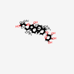 CC(=O)O[C@@H]([C@H]1C[C@@H](C)C2=C(O1)[C@H](O)[C@@]1(C)[C@@H]3CC[C@H]4C(C)(C)[C@@H](O[C@@H]5OC[C@H](O)[C@H](O)[C@H]5O)CC[C@@]45C[C@@]35CC[C@]21C)C(C)(C)O